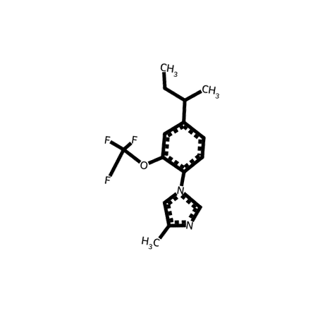 CCC(C)c1ccc(-n2cnc(C)c2)c(OC(F)(F)F)c1